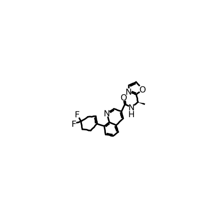 C[C@@H](NC(=O)c1cnc2c(C3=CCC(F)(F)CC3)cccc2c1)c1ncco1